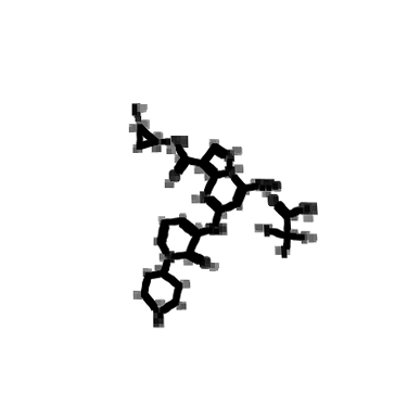 CNc1cc(Nc2cccn(C3CCNCC3)c2=O)nc2c(C(=O)N[C@@H]3C[C@@H]3F)cnn12.O=C(O)C(F)(F)F